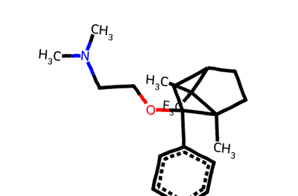 CN(C)CCOC1(c2ccccc2)CC2CCC1(C)C2(C)C(F)(F)F